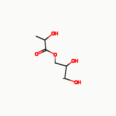 CC(O)C(=O)OCC(O)[CH]O